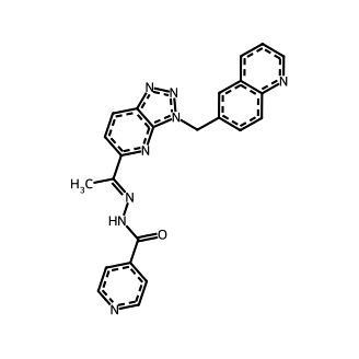 CC(=NNC(=O)c1ccncc1)c1ccc2nnn(Cc3ccc4ncccc4c3)c2n1